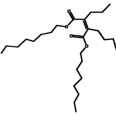 CCCCCCCCOC(=O)C(CCC)=C(CCCC)C(=O)OCCCCCCCC